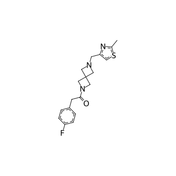 Cc1nc(CN2CC3(C2)CN(C(=O)Cc2ccc(F)cc2)C3)cs1